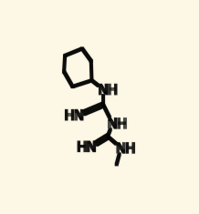 CNC(=N)NC(=N)NC1CCCCC1